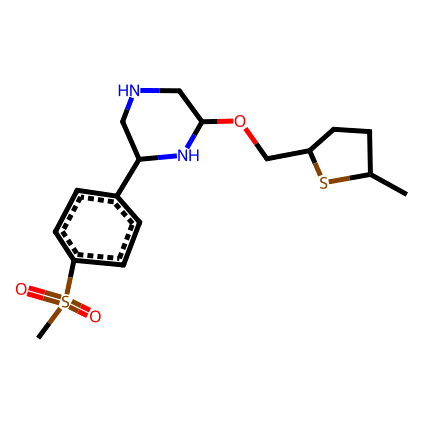 CC1CCC(COC2CNCC(c3ccc(S(C)(=O)=O)cc3)N2)S1